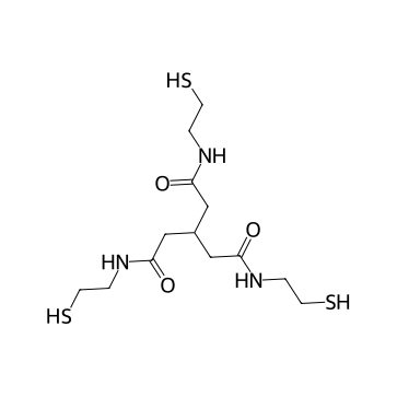 O=C(CC(CC(=O)NCCS)CC(=O)NCCS)NCCS